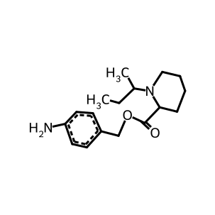 CCC(C)N1CCCCC1C(=O)OCc1ccc(N)cc1